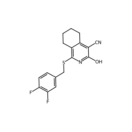 N#Cc1c(O)nc(SCc2ccc(F)c(F)c2)c2c1CCCC2